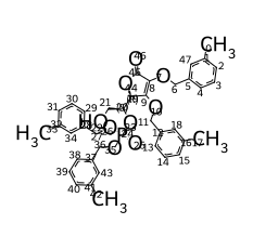 Cc1cccc(COC2=C(OCc3cccc(C)c3)[C@@H]([C@H](CO)OP(=O)(OCc3cccc(C)c3)OCc3cccc(C)c3)OC2=O)c1